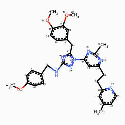 COc1ccc(CNc2nc(Cc3ccc(OC)c(OC)c3)n(-c3cc(CCc4cc(C)ccn4)nc(C)n3)n2)cc1